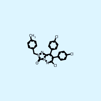 Cc1ccc(Cn2nc3c(-c4ccc(Cl)cc4)c(-c4ccc(Cl)cc4)c(Cl)nn3c2=O)cc1